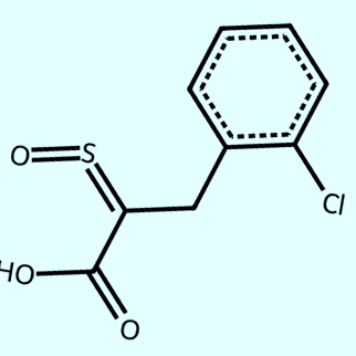 O=S=C(Cc1ccccc1Cl)C(=O)O